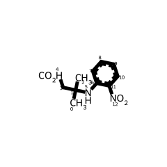 CC(C)(CC(=O)O)Nc1ccccc1[N+](=O)[O-]